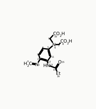 C=Nc1ccc(N(CC(=O)O)CC(=O)O)cc1NC(=O)CC